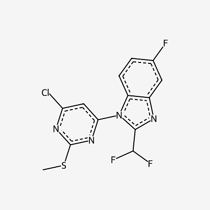 CSc1nc(Cl)cc(-n2c(C(F)F)nc3cc(F)ccc32)n1